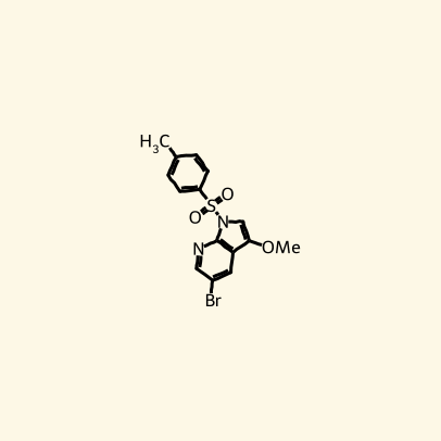 COc1cn(S(=O)(=O)c2ccc(C)cc2)c2ncc(Br)cc12